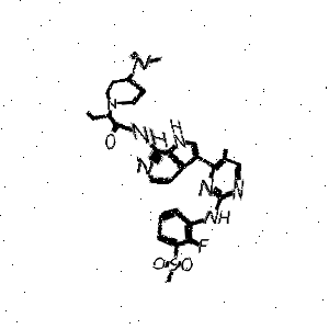 CCC(C(=O)Nc1nccc2c(-c3nc(Nc4cccc(S(C)(=O)=O)c4F)ncc3C)c[nH]c12)N1CCC(N(C)C)CC1